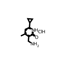 Cc1cc(C2CC2)[nH]c(=O)c1CN.Cl